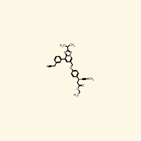 CC#C[C@@H](CC(=O)OCC)c1ccc(OCc2cc(-c3cccc(CC#N)c3)c3nc(C(C)C)nn3c2)cc1